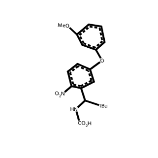 COc1cccc(Oc2ccc([N+](=O)[O-])c(C(NC(=O)O)C(C)(C)C)c2)c1